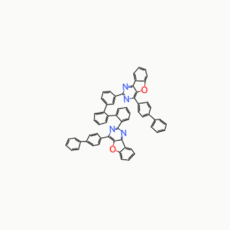 c1ccc(-c2ccc(-c3nc(-c4cccc(-c5ccccc5-c5ccccc5-c5nc(-c6ccc(-c7ccccc7)cc6)c6oc7ccccc7c6n5)c4)nc4c3oc3ccccc34)cc2)cc1